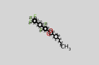 CCCCCC1CCC(C2COC(c3cc(F)c(C4CCC(c5cc(F)c(F)c(F)c5)CC4)c(F)c3)OC2)CC1